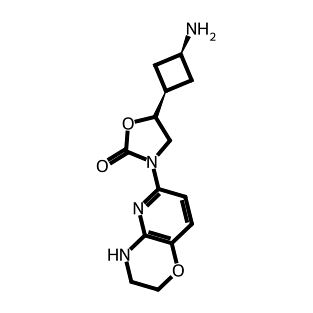 N[C@H]1C[C@@H](C2CN(c3ccc4c(n3)NCCO4)C(=O)O2)C1